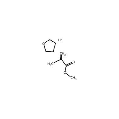 C1CCOC1.C=C(C)C(=O)OC.[H+]